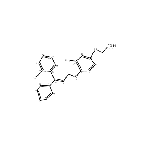 O=C(O)COc1ccc(SCC=C(c2ccccc2)c2ccccc2Cl)c(I)c1